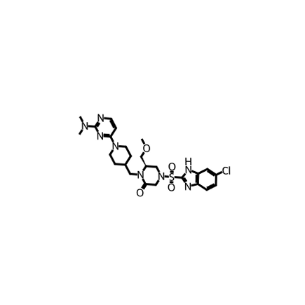 COC[C@H]1CN(S(=O)(=O)c2nc3ccc(Cl)cc3[nH]2)CC(=O)N1CC1CCN(c2ccnc(N(C)C)n2)CC1